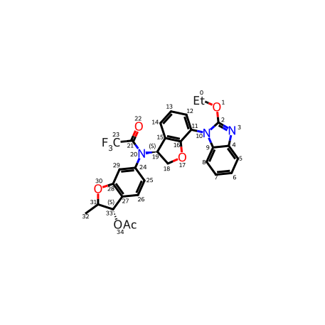 CCOc1nc2ccccc2n1-c1cccc2c1OC[C@H]2N(C(=O)C(F)(F)F)c1ccc2c(c1)OC(C)[C@H]2OC(C)=O